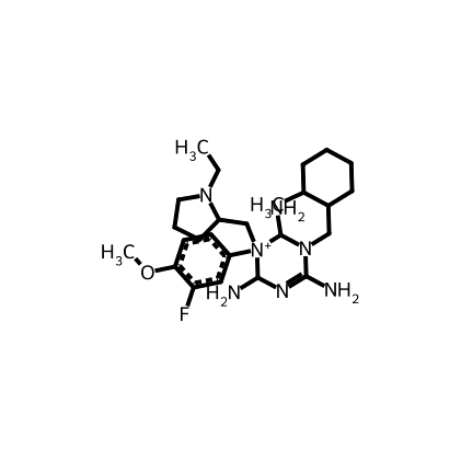 CCN1CCCC1C[N+]1(c2ccc(OC)c(F)c2)C(N)N=C(N)N(CC2CCCCC2C)C1N